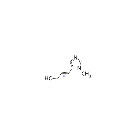 Cn1cncc1/C=C/CO